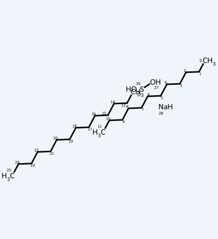 CCCCCCCCCCCC.CCCCCCCCCCCCCC.O=S(=O)(O)O.[NaH]